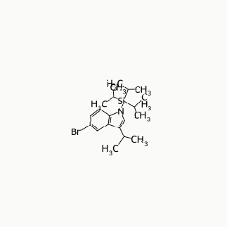 CC(C)c1cn([Si](C(C)C)(C(C)C)C(C)C)c2ccc(Br)cc12